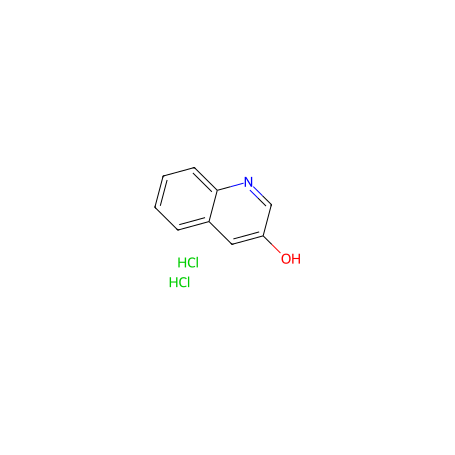 Cl.Cl.Oc1cnc2ccccc2c1